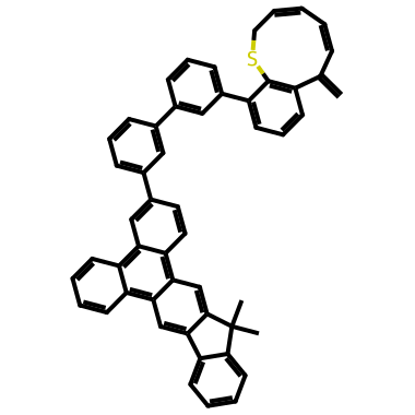 C=C1/C=C\C=C/CSc2c1cccc2-c1cccc(-c2cccc(-c3ccc4c(c3)c3ccccc3c3cc5c(cc43)C(C)(C)c3ccccc3-5)c2)c1